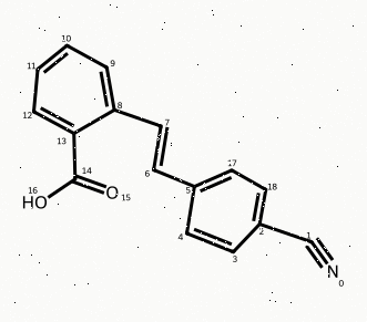 N#Cc1ccc(/C=C/c2ccccc2C(=O)O)cc1